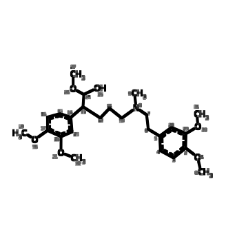 COc1ccc(CCN(C)CCCC(c2ccc(OC)c(OC)c2)C(O)OC)cc1OC